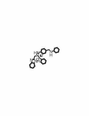 O=S(=O)(c1ccccc1)N(Cc1nc2ccccc2[nH]1)Nc1ccc(CNc2ccccc2)cc1